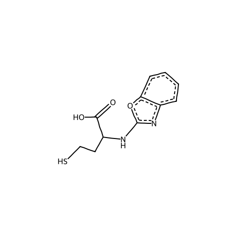 O=C(O)C(CCS)Nc1nc2ccccc2o1